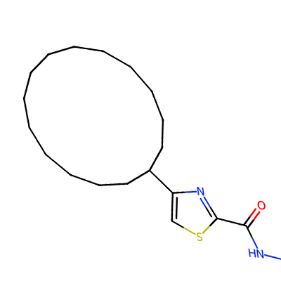 NNC(=O)c1nc(C2CCCCCCCCCCCCCC2)cs1